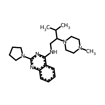 CC(C)C(CNc1nc(N2CCCC2)nc2ccccc12)N1CCN(C)CC1